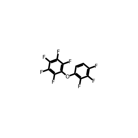 Fc1ccc(Oc2c(F)c(F)c(F)c(F)c2F)c(F)c1F